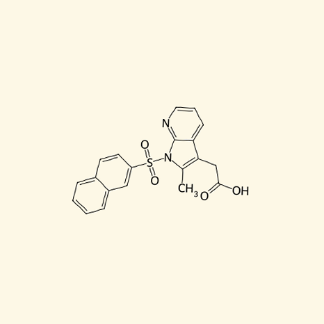 Cc1c(CC(=O)O)c2cccnc2n1S(=O)(=O)c1ccc2ccccc2c1